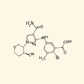 COC(=O)c1cc(Nc2nn(C3COCC[C@@H]3C#N)cc2C(N)=O)cc(C)c1Br